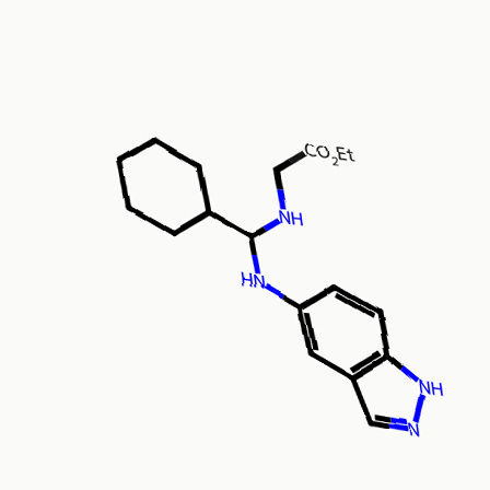 CCOC(=O)CNC(Nc1ccc2[nH]ncc2c1)C1CCCCC1